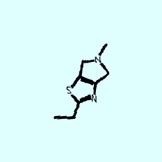 CCc1nc2c(s1)CN(C)C2